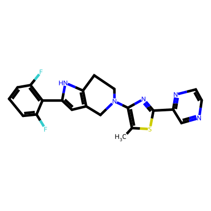 Cc1sc(-c2cnccn2)nc1N1CCc2[nH]c(-c3c(F)cccc3F)cc2C1